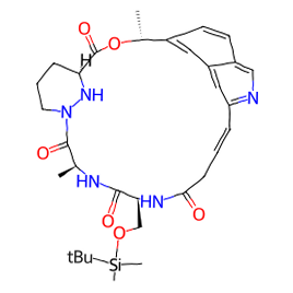 C[C@@H]1NC(=O)[C@H](CO[Si](C)(C)C(C)(C)C)NC(=O)C/C=C/c2cc3cc(ccc3cn2)[C@@H](C)OC(=O)[C@@H]2CCCN(N2)C1=O